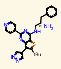 CC(C)(C)c1sc2c(NC[C@@H](N)Cc3ccccc3)nc(-c3ccncc3)nc2c1-c1cn[nH]c1